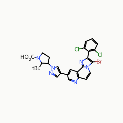 CC(C)(C)C1C(n2cc(-c3cnc4ccn5c(Br)c(-c6c(Cl)cccc6Cl)nc5c4c3)cn2)CCN1C(=O)O